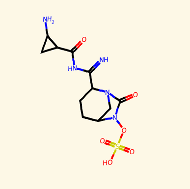 N=C(NC(=O)C1CC1N)C1CCC2CN1C(=O)N2OS(=O)(=O)O